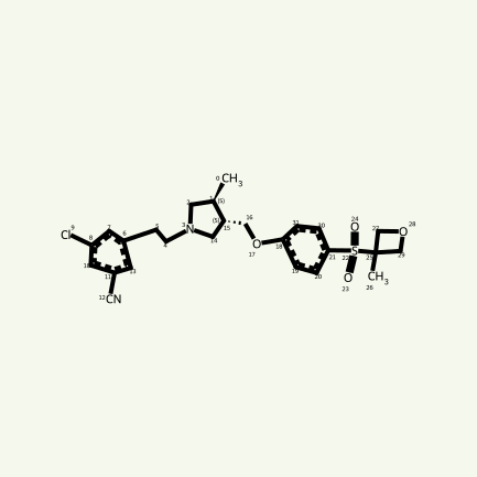 C[C@@H]1CN(CCc2cc(Cl)cc(C#N)c2)C[C@H]1COc1ccc(S(=O)(=O)C2(C)COC2)cc1